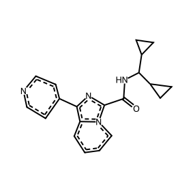 O=C(NC(C1CC1)C1CC1)c1nc(-c2ccncc2)c2ccccn12